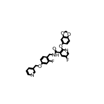 O=C(NCc1ccc(OCc2cccnc2)cc1F)c1cc(F)cnc1Oc1ccc2c(c1)OCO2